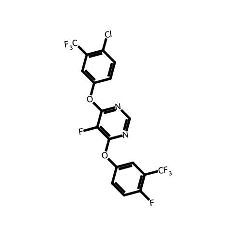 Fc1ccc(Oc2ncnc(Oc3ccc(Cl)c(C(F)(F)F)c3)c2F)cc1C(F)(F)F